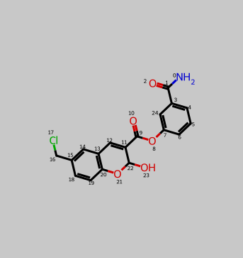 NC(=O)c1cccc(OC(=O)C2=Cc3cc(CCl)ccc3OC2O)c1